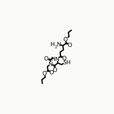 CCCOC(=O)CN(C(C)=O)C(=O)C(CS)NC(=O)CCC(N)C(=O)OCCC